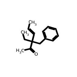 C/C=C/C(CC)(Cc1ccccc1)C(C)=O